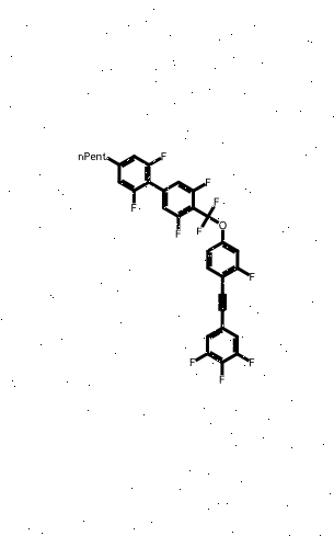 CCCCCc1cc(F)c(-c2cc(F)c(C(F)(F)Oc3ccc(C#Cc4cc(F)c(F)c(F)c4)c(F)c3)c(F)c2)c(F)c1